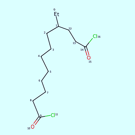 CCC(CCCCCCCC(=O)Cl)CCC(=O)Cl